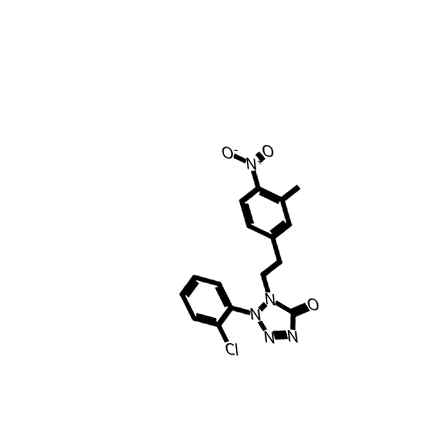 Cc1cc(CCn2c(=O)nnn2-c2ccccc2Cl)ccc1[N+](=O)[O-]